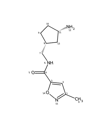 Cc1cc(C(=O)NC[C@@H]2CC[C@H](N)C2)on1